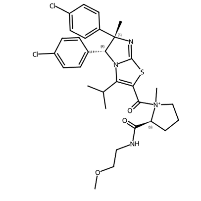 COCCNC(=O)[C@@H]1CCC[N+]1(C)C(=O)C1=C(C(C)C)N2C(=N[C@@](C)(c3ccc(Cl)cc3)[C@H]2c2ccc(Cl)cc2)S1